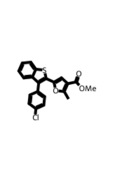 COC(=O)c1cc(-c2sc3ccccc3c2-c2ccc(Cl)cc2)oc1C